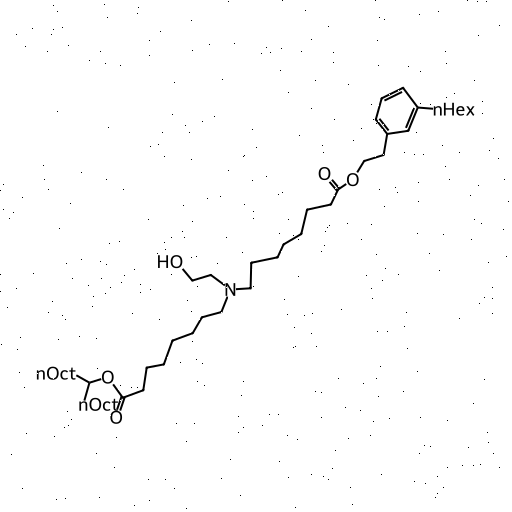 CCCCCCCCC(CCCCCCCC)OC(=O)CCCCCCCN(CCO)CCCCCCCC(=O)OCCc1cccc(CCCCCC)c1